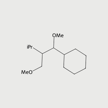 COCC(C(C)C)C(OC)C1CCCCC1